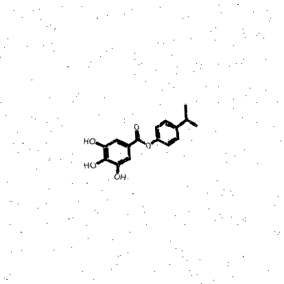 CC(C)c1ccc(OC(=O)c2cc(O)c(O)c(O)c2)cc1